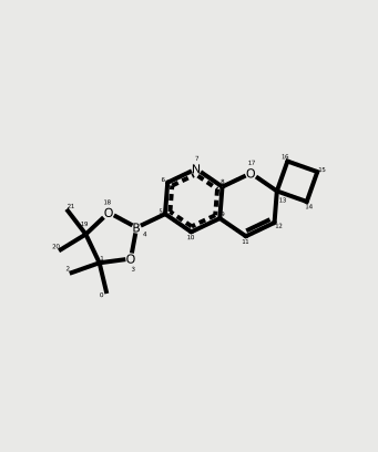 CC1(C)OB(c2cnc3c(c2)C=CC2(CCC2)O3)OC1(C)C